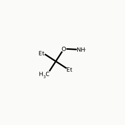 CCC(C)(CC)O[NH]